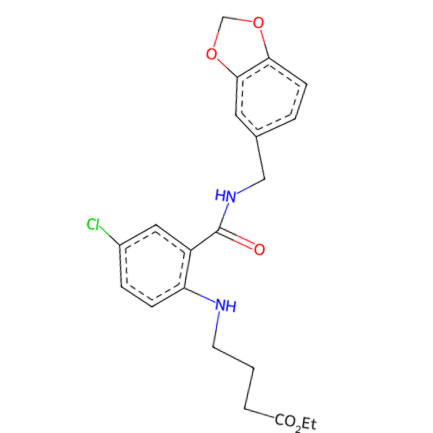 CCOC(=O)CCCNc1ccc(Cl)cc1C(=O)NCc1ccc2c(c1)OCO2